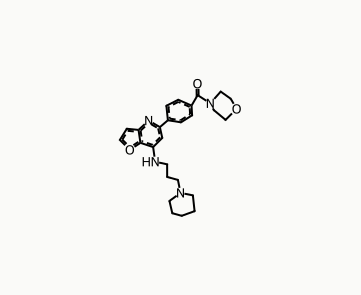 O=C(c1ccc(-c2cc(NCCCN3CCCCC3)c3occc3n2)cc1)N1CCOCC1